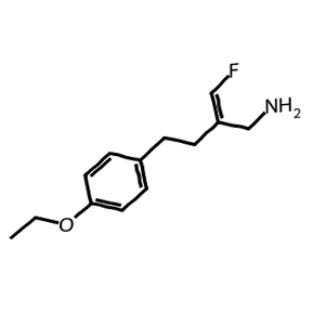 CCOc1ccc(CCC(=CF)CN)cc1